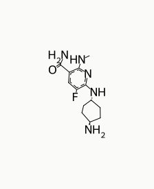 CNc1nc(N[C@H]2CC[C@H](N)CC2)c(F)cc1C(N)=O